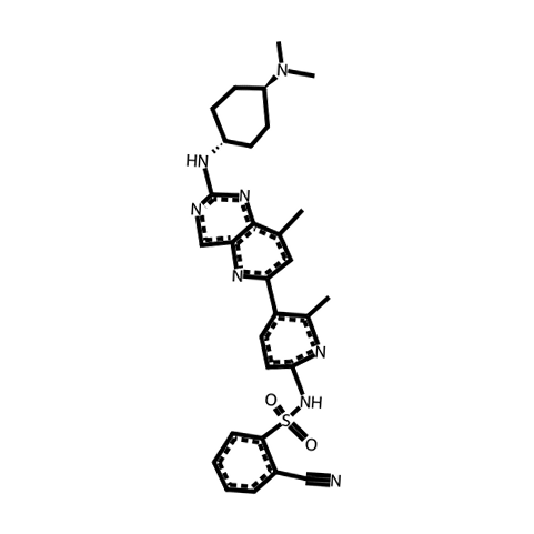 Cc1nc(NS(=O)(=O)c2ccccc2C#N)ccc1-c1cc(C)c2nc(N[C@H]3CC[C@H](N(C)C)CC3)ncc2n1